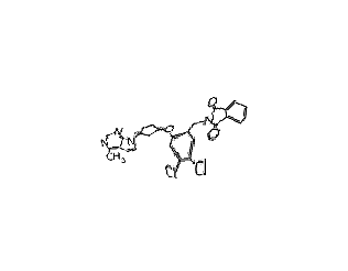 Cc1ncnc2c1ccn2[C@H]1C=C[C@@H](Oc2cc(Cl)c(Cl)cc2CN2C(=O)c3ccccc3C2=O)C1